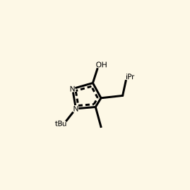 Cc1c(CC(C)C)c(O)nn1C(C)(C)C